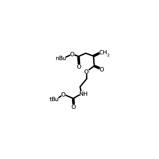 C=C(CC(=O)OCCCC)C(=O)OCCNC(=O)OC(C)(C)C